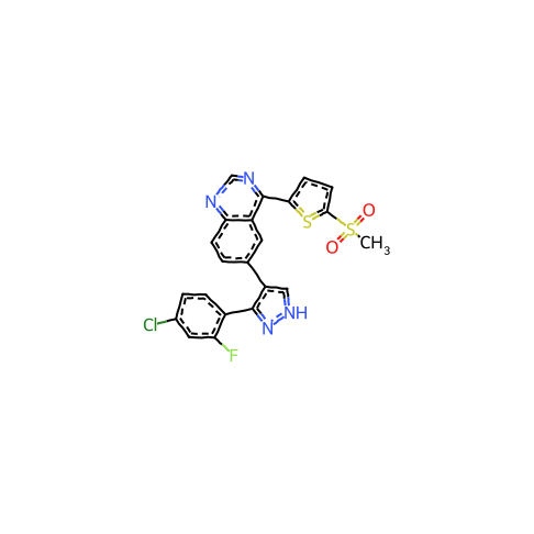 CS(=O)(=O)c1ccc(-c2ncnc3ccc(-c4c[nH]nc4-c4ccc(Cl)cc4F)cc23)s1